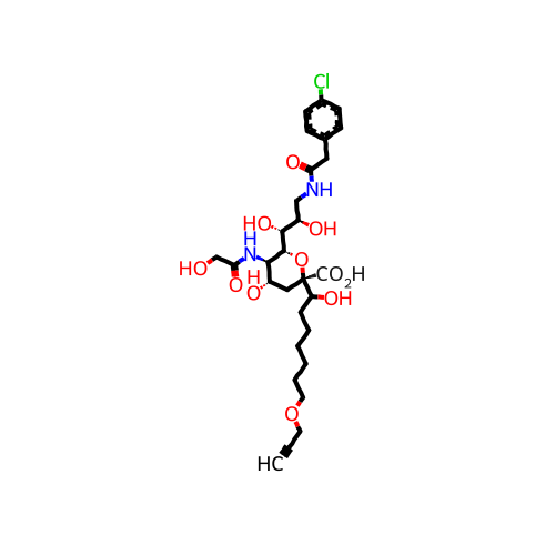 C#CCOCCCCCCC(O)[C@]1(C(=O)O)C[C@H](O)[C@@H](NC(=O)CO)[C@H]([C@H](O)[C@H](O)CNC(=O)Cc2ccc(Cl)cc2)O1